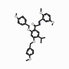 COc1ccc(COc2cc(OCc3ccc(OC)cc3)c(C(C)C)cc2C(=O)/C=C/c2cc(OC)ccc2OC)cc1